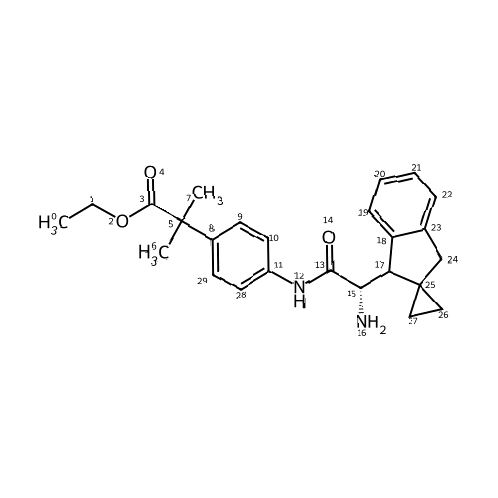 CCOC(=O)C(C)(C)c1ccc(NC(=O)[C@@H](N)C2c3ccccc3CC23CC3)cc1